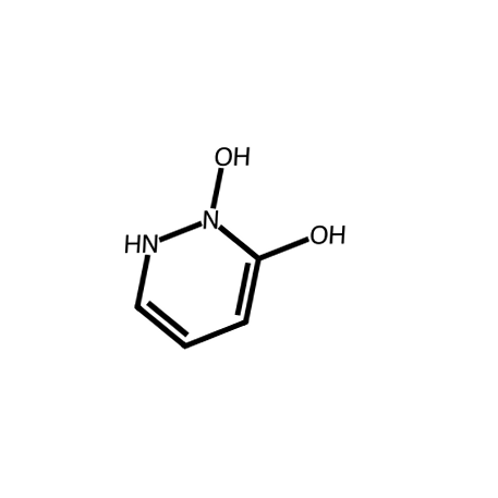 OC1=CC=CNN1O